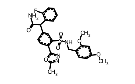 COc1ccc(CNS(=O)(=O)c2cc(C(C(N)=O)c3ccccc3F)ccc2-c2nnc(C)o2)c(OC)c1